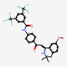 COc1ccc2c(c1)/C(=C/C(=O)c1ccc(NC(=O)c3cc(C(F)(F)F)cc(C(F)(F)F)c3)cc1)NC(C)(C)C2